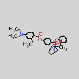 CCc1cc(N(CC)CC)ccc1C(=O)Oc1ccc([C@@H](O)[C@H](C)N2C3CCC2CC(O)(Cc2ccccc2)C3)cc1